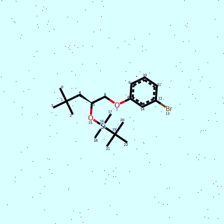 CC(C)(C)[CH][C@@H](COc1cccc(Br)c1)O[Si](C)(C)C(C)(C)C